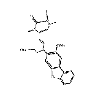 COc1cc2c(cc1N(CCO)N=Cc1cc(C)[n+](C)c(=O)n1C)oc1ccccc12